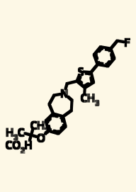 Cc1cc(-c2ccc(CF)cc2)sc1CN1CCc2ccc(OC(C)(C)C(=O)O)cc2CC1